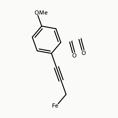 COc1ccc(C#C[CH2][Fe])cc1.[C]=O.[C]=O